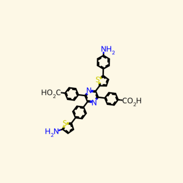 Nc1ccc(-c2ccc(-c3nc(-c4ccc(C(=O)O)cc4)c(-c4ccc(-c5ccc(N)s5)cc4)nc3-c3ccc(C(=O)O)cc3)s2)cc1